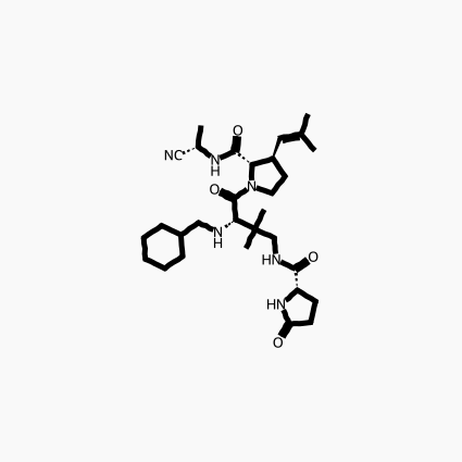 CC(C)=C[C@H]1CCN(C(=O)[C@@H](NCC2CCCCC2)C(C)(C)CNC(=O)[C@@H]2CCC(=O)N2)[C@@H]1C(=O)N[C@@H](C)C#N